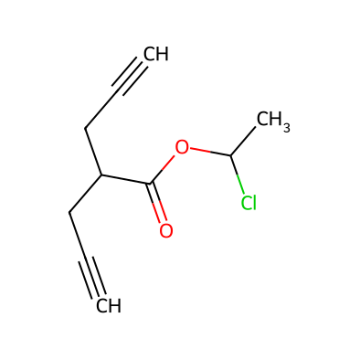 C#CCC(CC#C)C(=O)OC(C)Cl